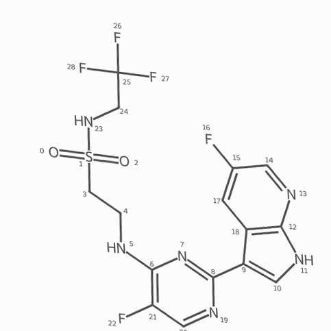 O=S(=O)(CCNc1nc(-c2c[nH]c3ncc(F)cc23)ncc1F)NCC(F)(F)F